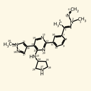 C=NN(C)/C=C(\C)c1cccc(-c2ncc(-c3cnn(C)c3)c(N[C@H]3CCNC3)n2)c1